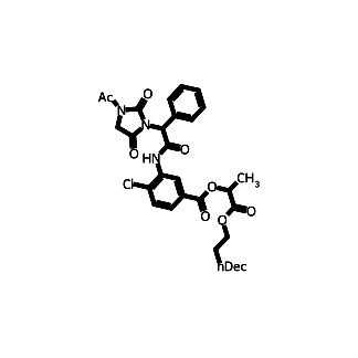 CCCCCCCCCCCCOC(=O)C(C)OC(=O)c1ccc(Cl)c(NC(=O)C(c2ccccc2)N2C(=O)CN(C(C)=O)C2=O)c1